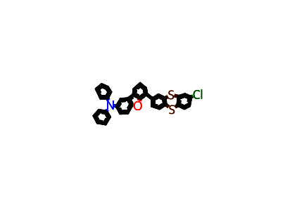 Clc1ccc2c(c1)Sc1cc(-c3cccc4c3oc3ccc(N(c5ccccc5)c5ccccc5)cc34)ccc1S2